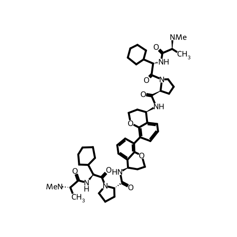 CN[C@@H](C)C(=O)N[C@H](C(=O)N1CCC[C@H]1C(=O)N[C@@H]1CCOc2c(-c3cccc4c3OCC[C@H]4NC(=O)[C@@H]3CCCN3C(=O)[C@@H](NC(=O)[C@H](C)NC)C3CCCCC3)cccc21)C1CCCCC1